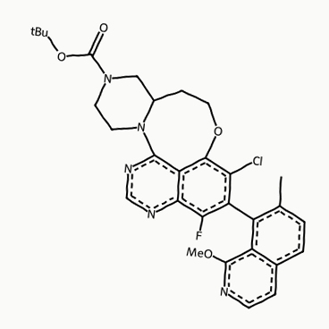 COc1nccc2ccc(C)c(-c3c(Cl)c4c5c(ncnc5c3F)N3CCN(C(=O)OC(C)(C)C)CC3CCO4)c12